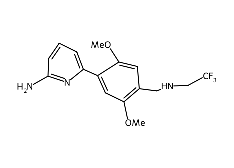 COc1cc(-c2cccc(N)n2)c(OC)cc1CNCC(F)(F)F